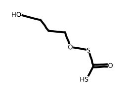 O=C(S)SOCCCO